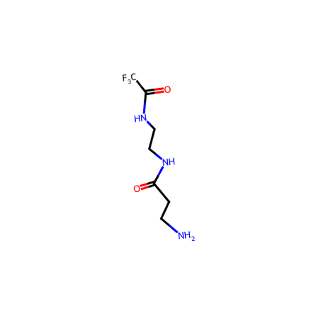 NCCC(=O)NCCNC(=O)C(F)(F)F